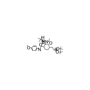 COc1ccc(N(C)CC2CCC(CCB3OC(C)(C)C(C)(C)O3)CC2(NC(C)=O)C(=O)NC(C)(C)C)cc1